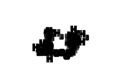 Cc1ccc(NC(=O)c2ccc(CN3CCN(C(=O)CCOCCOCCCN[C@H](C(=O)N4C[C@H](O)C[C@H]4C(=O)NCc4ccc(-c5scnc5C)cc4)C(C)(C)C)CC3)cc2)cc1Nc1nccc(-c2cccnc2)n1